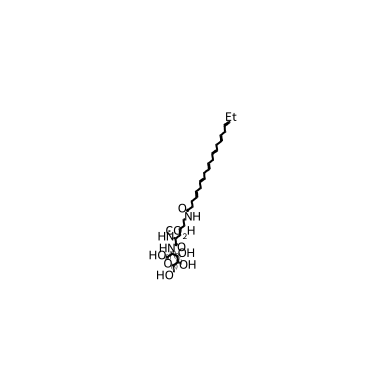 CCC=CCC=CCC=CCC=CCC=CCC=CCCC(=O)NCCCCC(NC(=O)O)C(=O)N[C@@H]1[C@@H](O)[C@H](O)[C@@H](CO)O[C@H]1O